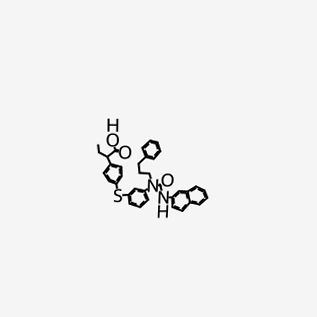 CCC(C(=O)O)c1ccc(Sc2cccc(N(CCCc3ccccc3)C(=O)Nc3ccc4ccccc4c3)c2)cc1